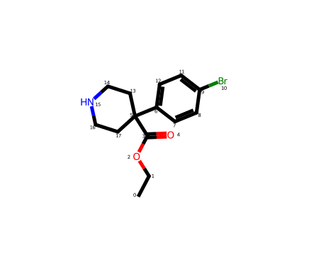 CCOC(=O)C1(c2ccc(Br)cc2)CCNCC1